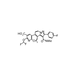 CNC(=O)c1c(-c2ccc(F)cc2)nn2ccc(-c3cc(C(=O)O)c(OC(F)F)nc3C)c(F)c12